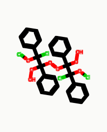 OOC(OOC(OO)(c1ccccc1)C(Cl)(OCl)c1ccccc1)(c1ccccc1)C(Cl)(OCl)c1ccccc1